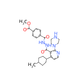 COC(=O)c1ccc(C(=O)NNC(=O)c2c(C3CCC(C)CC3)ccnc2N2CCNCC2)cc1